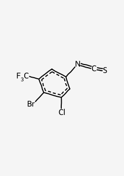 FC(F)(F)c1cc(N=C=S)cc(Cl)c1Br